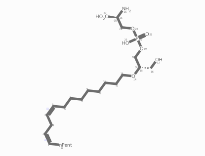 CCCCC/C=C\C/C=C\CCCCCCCCO[C@@H](CO)COP(=O)(O)OC[C@H](N)C(=O)O